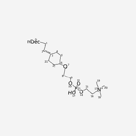 CCCCCCCCCCCC=C1CCC(OCCOP(=O)(O)OCC[N+](C)(C)C)CC1